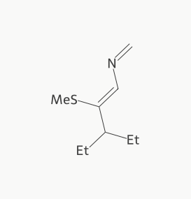 C=N/C=C(\SC)C(CC)CC